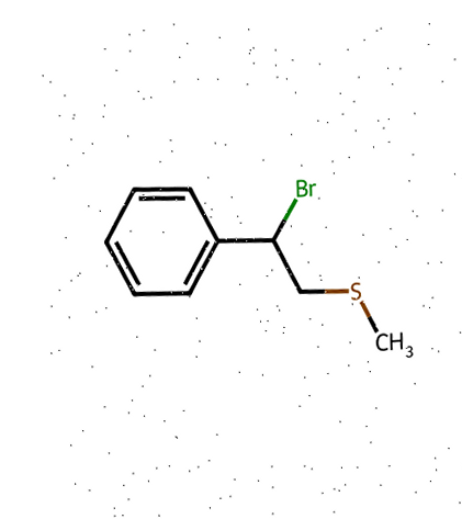 CSCC(Br)c1ccccc1